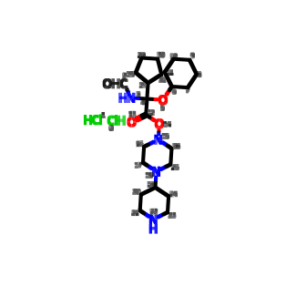 Cl.Cl.O=CNC(OC1CCCCC1)(C(=O)ON1CCN(C2CCNCC2)CC1)C1CCCC1